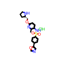 Cc1nc(OC[C@@H]2CCCN2)ccc1NS(=O)(=O)c1ccc(-c2cnco2)cc1.Cl